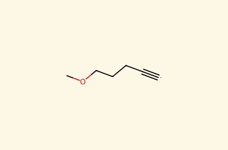 [C]#CCCCOC